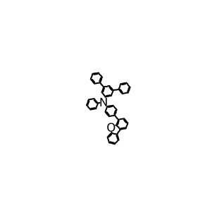 c1ccc(-c2cc(-c3ccccc3)cc(N(c3ccccc3)c3ccc(-c4cccc5c4oc4ccccc45)cc3)c2)cc1